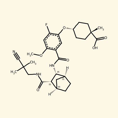 COc1cc(F)c(O[C@H]2CC[C@@](C)(C(=O)O)CC2)cc1C(=O)N[C@@H]1[C@H]2CC[C@H](C2)[C@@H]1C(=O)NCC(C)(C)C#N